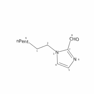 CCCCCCCn1ccnc1C=O